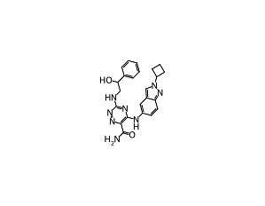 NC(=O)c1nnc(NCC(O)c2ccccc2)nc1Nc1ccc2nn(C3CCC3)cc2c1